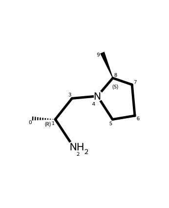 C[C@@H](N)CN1CCC[C@@H]1C